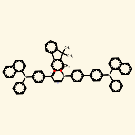 C=C/C=C(\C=C/N(c1ccc(-c2ccc(N(c3ccccc3)c3cccc4ccccc34)cc2)cc1)c1ccc2c(c1)C(C)(C)c1ccccc1-2)c1ccc(N(c2ccccc2)c2cccc3ccccc23)cc1